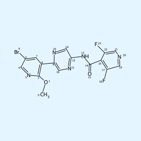 COc1ncc(Br)cc1-c1cnc(NC(=O)c2c(F)cncc2F)cn1